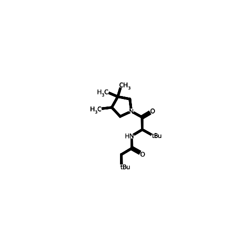 CC1CN(C(=O)C(NC(=O)CC(C)(C)C)C(C)(C)C)CC1(C)C